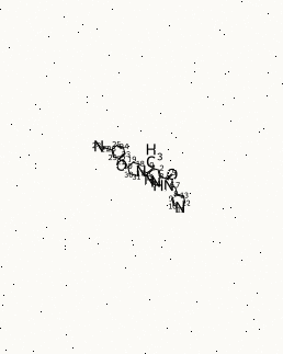 Cc1cc(C(=O)NCc2ccncc2)nnc1N1CCC(Oc2cccc(C#N)c2)CC1